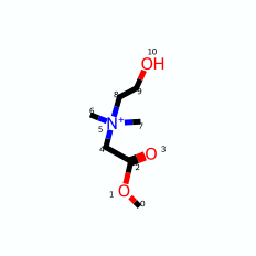 COC(=O)C[N+](C)(C)CCO